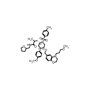 COCCCN1CCOc2ccc(CO[C@H]3CN(S(=O)(=O)c4ccc(C)cc4)[C@@H](CC(C)C(=O)NCC4CCCO4)C[C@@H]3c3ccc(OC)cc3)cc21